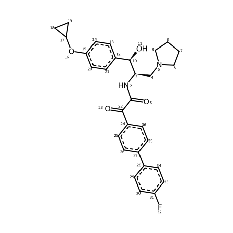 O=C(N[C@H](CN1CCCC1)[C@H](O)c1ccc(OC2CC2)cc1)C(=O)c1ccc(-c2ccc(F)cc2)cc1